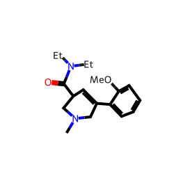 CCN(CC)C(=O)C1C=C(c2ccccc2OC)CN(C)C1